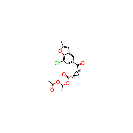 CC(=O)OC(C)OC(=O)[C@H]1C[C@@H]1C(=O)c1cc(Cl)c2oc(C)cc2c1